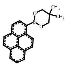 CC1(C)COB(c2ccc3ccc4cccc5ccc2c3c45)OC1